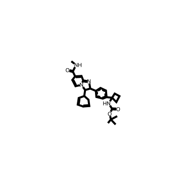 CNC(=O)C1=CC2=NC(c3ccc(C4(NC(=O)OC(C)(C)C)CCC4)cc3)C(C3C=CC=CC3)N2C=C1